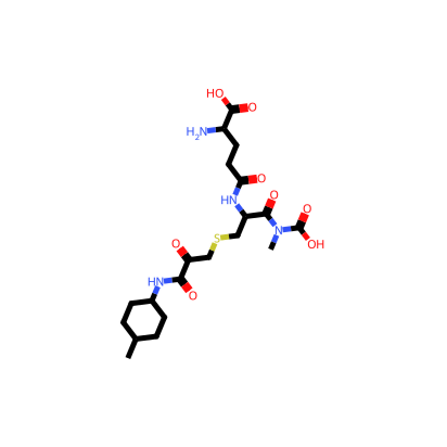 CC1CCC(NC(=O)C(=O)CSCC(NC(=O)CCC(N)C(=O)O)C(=O)N(C)C(=O)O)CC1